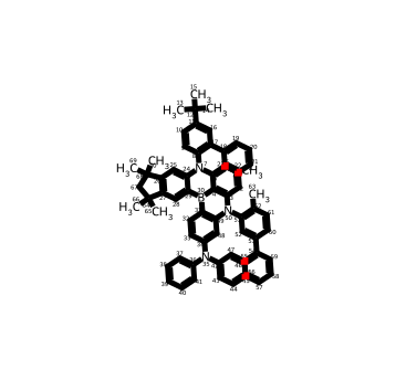 Cc1cc2c3c(c1)N(c1ccc(C(C)(C)C)cc1-c1ccccc1)c1cc4c(cc1B3c1ccc(N(c3ccccc3)c3ccccc3)cc1N2c1cc(-c2ccccc2)ccc1C)C(C)(C)CC4(C)C